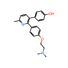 Cc1ccc(-c2ccc(O)cc2)c(-c2ccc(OCCN(C)C)cc2)n1